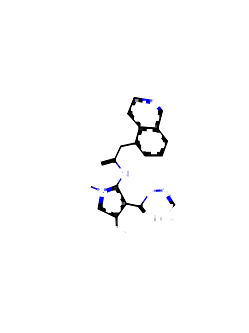 C=C(Cc1cccc2cnccc12)Nc1c(C(=C)N/N=C\[C@H](C)CC)c(C#N)cn1C